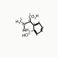 CN(N)C(C(=O)O)c1ccccc1.Cl